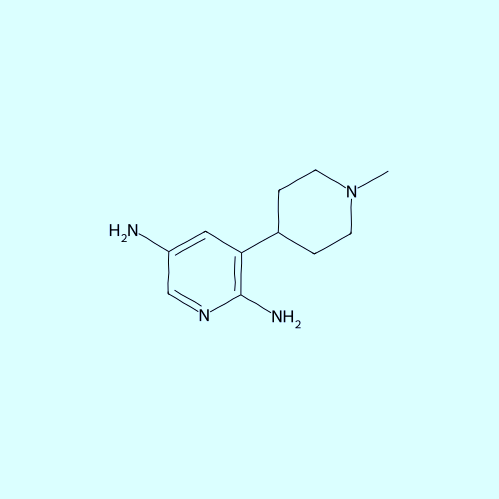 CN1CCC(c2cc(N)cnc2N)CC1